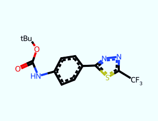 CC(C)(C)OC(=O)Nc1ccc(-c2nnc(C(F)(F)F)s2)cc1